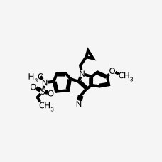 CCS(=O)(=O)N(C)c1ccc(-c2c(C#N)c3ccc(OC)cc3n2CC2CC2)cc1